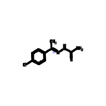 C/C(=N\NC(N)=S)c1ccc(Cl)cc1